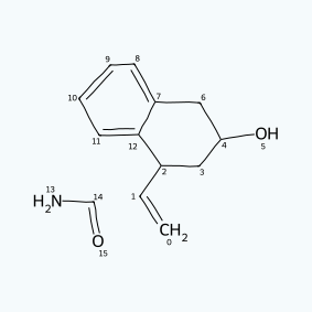 C=CC1CC(O)Cc2ccccc21.NC=O